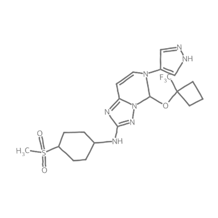 CS(=O)(=O)C1CCC(Nc2nc3n(n2)C(OC2(C(F)(F)F)CCC2)N(c2cn[nH]c2)C=C3)CC1